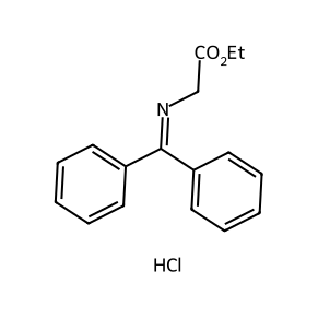 CCOC(=O)CN=C(c1ccccc1)c1ccccc1.Cl